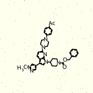 CC(=O)c1ccc(N2CCN(c3ccc4c(-c5cnn(C)c5)cn(C5CCN(C(=O)OCc6ccccc6)CC5)c4n3)CC2)cc1